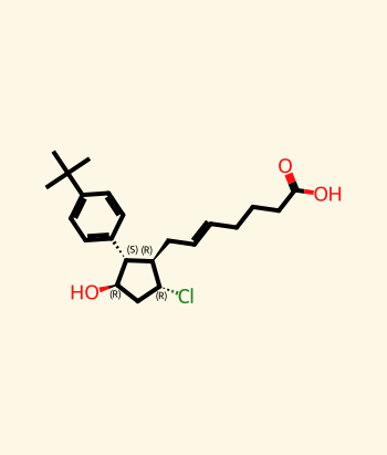 CC(C)(C)c1ccc([C@@H]2[C@@H](CC=CCCCC(=O)O)[C@H](Cl)C[C@H]2O)cc1